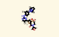 CCc1cc(N2C[C@H]3CC[C@@H](C2)N3C)ccc1Nc1ncc(C(F)(F)F)c(-c2cc3c(s2)C(=O)N(C2COC2)CCS3(=O)=O)n1